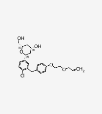 C=CCOCCOc1ccc(Cc2cc([C@H]3C[C@@H](O)C[C@@H](CO)O3)ccc2Cl)cc1